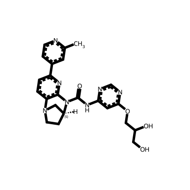 Cc1cc(-c2ccc3c(n2)N(C(=O)Nc2cc(OCC(O)CO)ncn2)[C@H]2CCN3C2)ccn1